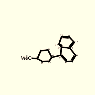 COC1CC[C](c2cccc3ccccc23)CC1